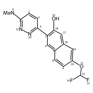 CNc1ccc(-c2cc3ccc(OC(F)F)cc3cc2O)nn1